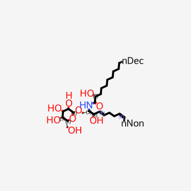 CCCCCCCCC/C=C\CC/C=C/[C@@H](O)[C@H](CO[C@@H]1O[C@H](CO)[C@@H](O)C(O)C1O)NC(=O)[C@H](O)CCCCCCCCCCCCCCCCCC